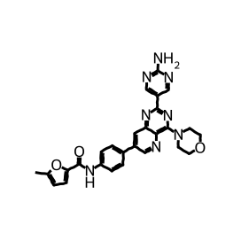 Cc1ccc(C(=O)Nc2ccc(-c3cnc4c(N5CCOCC5)nc(-c5cnc(N)nc5)nc4c3)cc2)o1